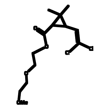 COCCOCCOC(=O)C1C(C=C(Cl)Cl)C1(C)C